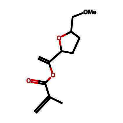 C=C(C)C(=O)OC(=C)C1CCC(COC)O1